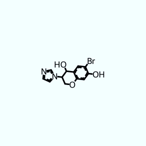 Oc1cc2c(cc1Br)C(O)C(n1ccnc1)CO2